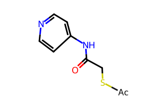 CC(=O)SCC(=O)Nc1ccncc1